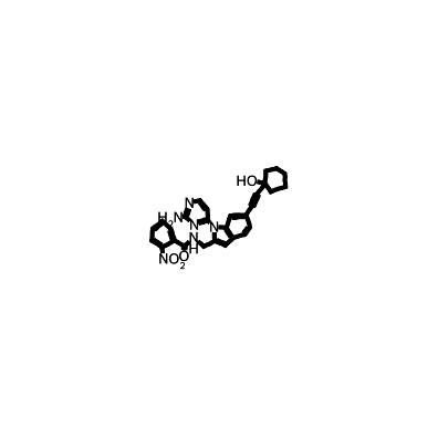 Nc1nccc(-n2c(CNC(=O)c3ccccc3[N+](=O)[O-])cc3ccc(C#CC4(O)CCCCC4)cc32)n1